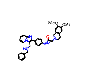 COc1cc2c(cc1OC)CN(CC(=O)Nc1ccc(-c3nc4ccccn4c3CNCc3ccccc3)cc1)CC2